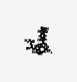 CC(C)[C@H](CCC(N)=O)NC(=O)[C@@H]1CC[C@@H]2CCN(C(=O)C(F)(F)F)CC(NC(=O)c3cc4cc(C(=O)P(=O)(O)O)ccc4[nH]3)C(=O)N21